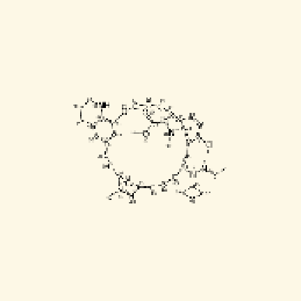 C/C=N/N(/C1=C/c2c(Cl)ccc3c(c(C(=O)OC)n(C)c23)CCCOc2cc(cc3c2NCCC3)SCc2cc(nn2C)CSC1)C12CC1C2